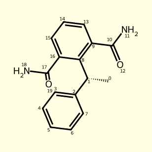 C[C@H](c1ccccc1)c1c(C(N)=O)cccc1C(N)=O